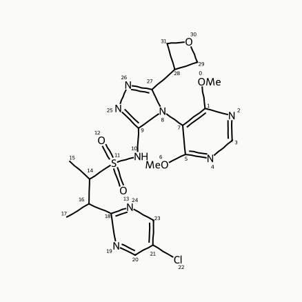 COc1ncnc(OC)c1-n1c(NS(=O)(=O)C(C)C(C)c2ncc(Cl)cn2)nnc1C1COC1